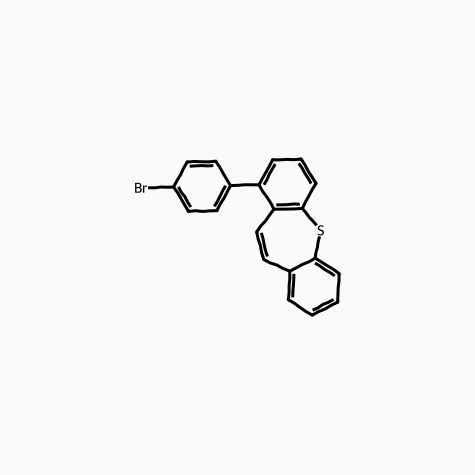 Brc1ccc(-c2cccc3c2C=Cc2ccccc2S3)cc1